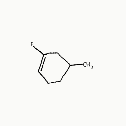 CC1CCC=C(F)C1